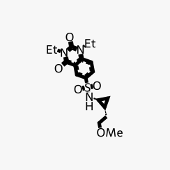 CCn1c(=O)c2cc(S(=O)(=O)N[C@@H]3C[C@@H]3CCOC)ccc2n(CC)c1=O